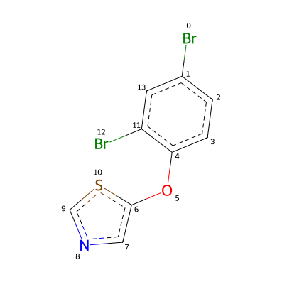 Brc1ccc(Oc2cncs2)c(Br)c1